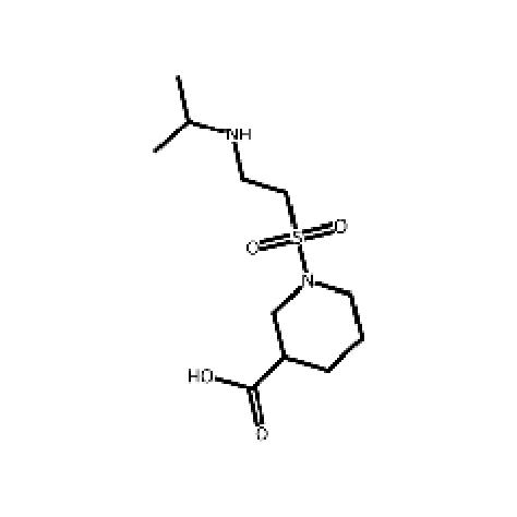 CC(C)NCCS(=O)(=O)N1CCCC(C(=O)O)C1